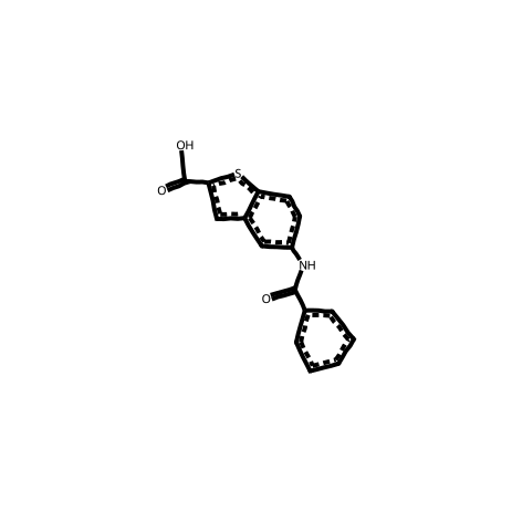 O=C(Nc1ccc2sc(C(=O)O)cc2c1)c1ccccc1